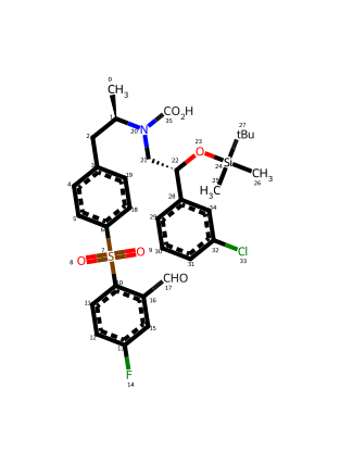 C[C@H](Cc1ccc(S(=O)(=O)c2ccc(F)cc2C=O)cc1)N(C[C@H](O[Si](C)(C)C(C)(C)C)c1cccc(Cl)c1)C(=O)O